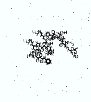 CC(=O)OC(COC=O)CSCC(N)C(=O)C(=O)CNN[C@@H](CC(=O)O)C(=O)C(=O)[C@@H]1CCCN1N[C@@H](CCCCN)C(=O)N[C@@H](Cc1c[nH]cn1)C(=O)CC(=O)[C@@H]1CCCN1C(=O)[C@H](CCCCN)NN[C@@H](CO)C(=O)C(=O)[C@@H](N)Cc1ccccc1